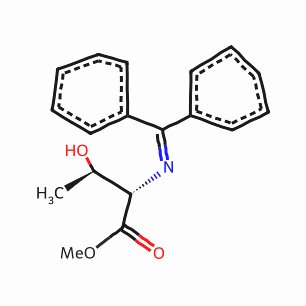 COC(=O)[C@@H](N=C(c1ccccc1)c1ccccc1)[C@@H](C)O